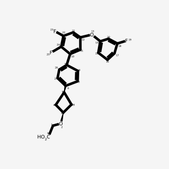 O=C(O)CO[C@H]1C[C@@H](c2ccc(-c3cc(Oc4cccc(F)c4)cc(F)c3F)cc2)C1